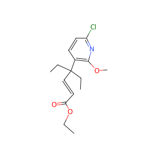 CCOC(=O)C=CC(CC)(CC)c1ccc(Cl)nc1OC